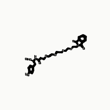 O=C[C@H](Cc1ccc(O)cc1)NC(=O)CCOCCOCCOCCOCCN1C(=O)c2ccccc2C1=O